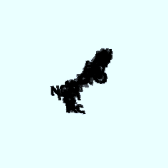 [CH2]C(=O)N1C[C@@H]2[C@H](C1)[C@]2(C#N)c1ccc(-c2ccc3c(c2)C[C@H]2[C@H](Cn4ccnn4)OC(=O)N32)cn1